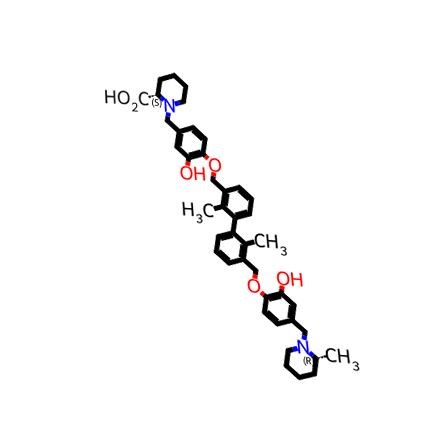 Cc1c(COc2ccc(CN3CCCC[C@H]3C)cc2O)cccc1-c1cccc(COc2ccc(CN3CCCC[C@H]3C(=O)O)cc2O)c1C